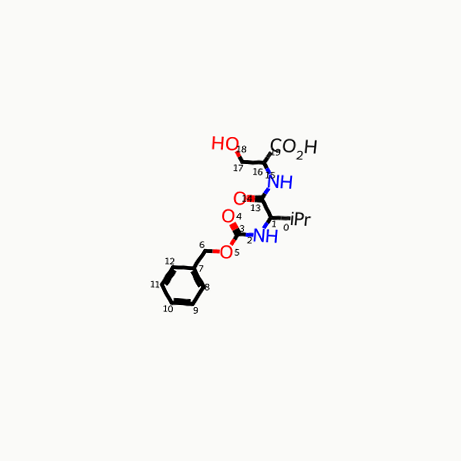 CC(C)C(NC(=O)OCc1ccccc1)C(=O)NC(CO)C(=O)O